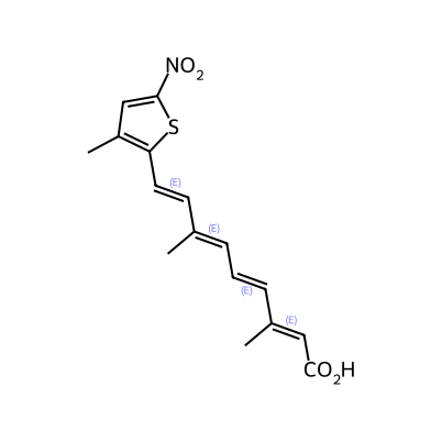 CC(/C=C/c1sc([N+](=O)[O-])cc1C)=C\C=C\C(C)=C\C(=O)O